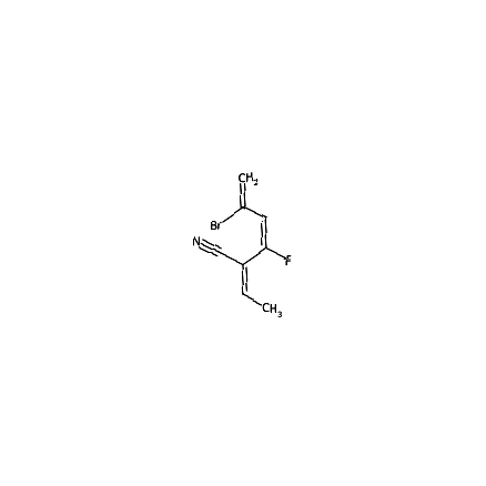 C=C(Br)/C=C(F)\C(C#N)=C/C